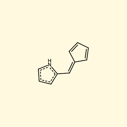 C1=CC(=Cc2ccc[nH]2)C=C1